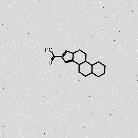 O=C(O)C1=CC2CCC3C(CCC4CCCCC43)C2=C1